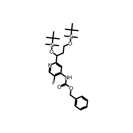 CC(C)(C)[Si](C)(C)OCCC(O[Si](C)(C)C(C)(C)C)c1cc(NC(=O)OCc2ccccc2)c(F)cn1